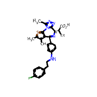 CCC(C(=O)O)[C@@H]1N=C(c2ccc(NCCc3ccc(F)cc3)cc2)c2c(sc(C)c2C)-n2c(C)nnc21